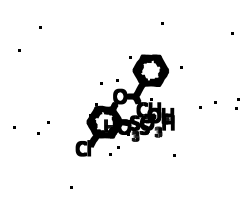 CC(Oc1ccc(Cl)cc1S(=O)(=O)O)c1ccccc1.O=S(=O)(O)O